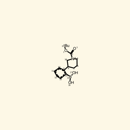 CC(C)(C)OC(=O)N1CCCC(c2ccccc2B(O)O)C1